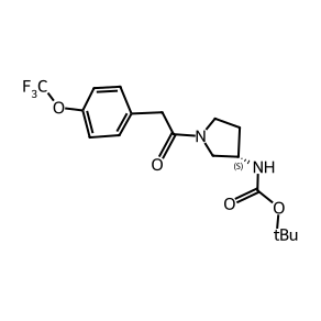 CC(C)(C)OC(=O)N[C@H]1CCN(C(=O)Cc2ccc(OC(F)(F)F)cc2)C1